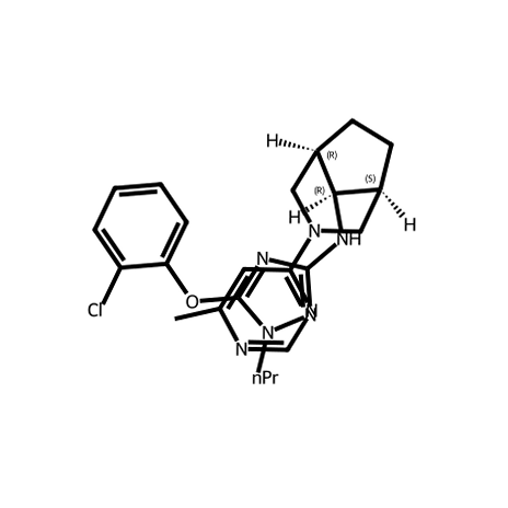 CCCn1nc(N[C@H]2[C@@H]3CC[C@H]2CN(c2cc(C)ncn2)C3)nc1Oc1ccccc1Cl